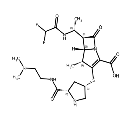 C[C@@H](NC(=O)C(F)F)[C@H]1C(=O)N2C(C(=O)O)=C(S[C@@H]3CN[C@H](C(=O)NCCN(C)C)C3)[C@H](C)[C@H]12